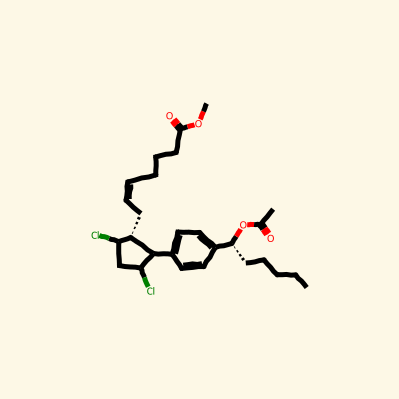 CCCCC[C@@H](OC(C)=O)c1ccc(C2C(Cl)CC(Cl)[C@@H]2C/C=C\CCCC(=O)OC)cc1